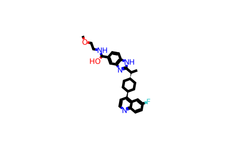 COCCNC(O)c1ccc2[nH]c(C(C)[C@H]3CC[C@H](c4ccnc5ccc(F)cc54)CC3)nc2c1